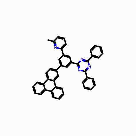 Cc1cccc(-c2cc(-c3ccc4c5ccccc5c5ccccc5c4c3)cc(-c3nc(-c4ccccc4)nc(-c4ccccc4)n3)c2)n1